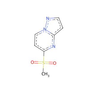 CS(=O)(=O)c1ccn2nccc2n1